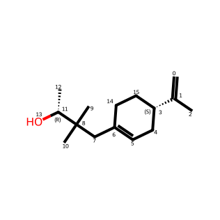 C=C(C)[C@@H]1CC=C(CC(C)(C)[C@@H](C)O)CC1